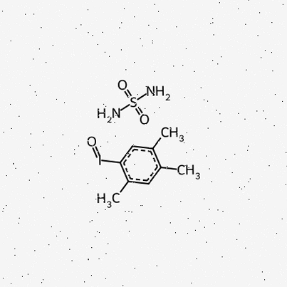 Cc1cc(C)c(I=O)cc1C.NS(N)(=O)=O